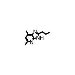 CCCc1nc2c(C)cc(C)nc2[nH]1